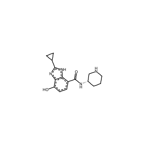 O=C(N[C@H]1CCCNC1)c1ccc(O)c2nc(C3CC3)[nH]c12